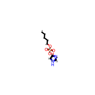 CCCCCOS(=O)(=O)O.c1c[nH]cn1